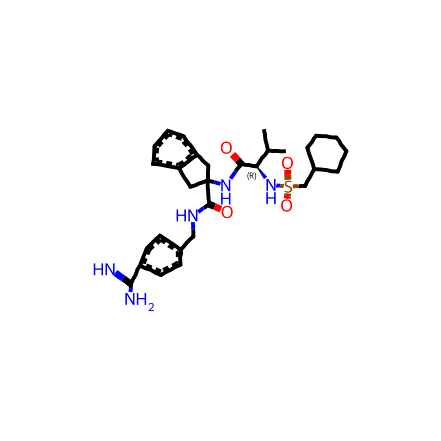 CC(C)[C@@H](NS(=O)(=O)CC1CCCCC1)C(=O)NC1(C(=O)NCc2ccc(C(=N)N)cc2)Cc2ccccc2C1